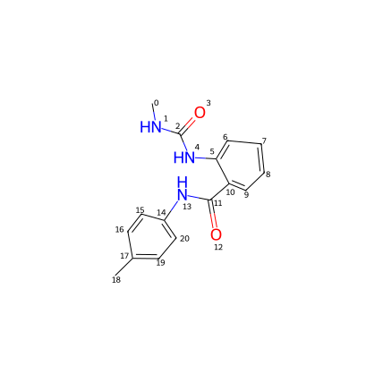 CNC(=O)Nc1ccccc1C(=O)Nc1ccc(C)cc1